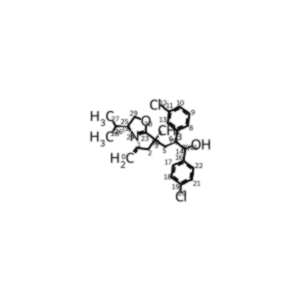 C=CC[C@@](C)(C[C@@H](c1cccc(Cl)c1)[C@@H](O)c1ccc(Cl)cc1)C1=N[C@@H](C(C)C)CO1